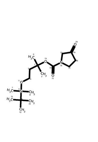 CC(C)(CCO[Si](C)(C)C(C)(C)C)OC(=O)N1CCC(=O)C1